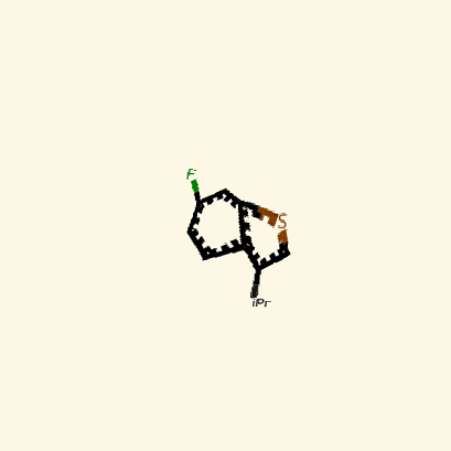 CC(C)c1csc2cc(F)ccc12